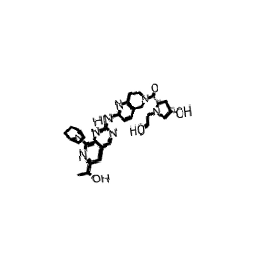 CC(O)c1cc2cnc(Nc3ccc4c(n3)CCN(C(=O)[C@@H]3C[C@H](O)CN3CCO)C4)nc2c(N2C3CCC2CC3)n1